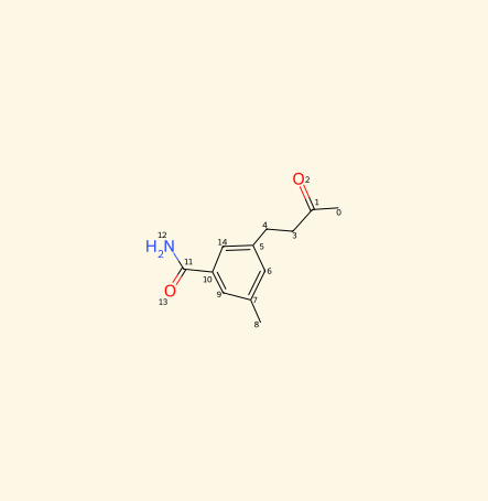 CC(=O)CCc1cc(C)cc(C(N)=O)c1